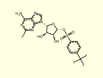 Nc1nc(F)nc2c1ncn2[C@@H]1O[C@H](OS(=O)(=O)c2ccc(C(F)(F)F)cc2)[C@@H](O)[C@H]1O